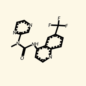 CN(C(=O)Nc1ccnc2ccc(C(F)(F)F)cc12)c1cnccn1